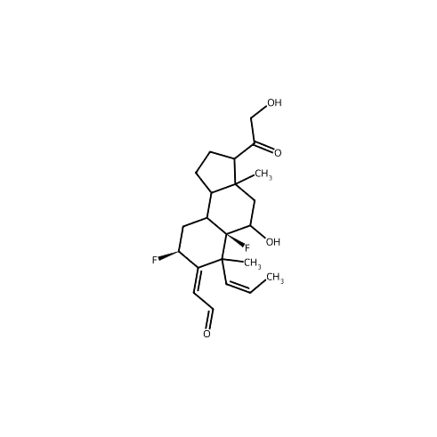 C/C=C\C1(C)/C(=C\C=O)[C@@H](F)CC2C3CCC(C(=O)CO)C3(C)CC(O)[C@@]21F